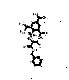 CC(C)c1cc(C(C)C)c(S(=O)(=O)NC(C[18F])C(=O)NCc2ccccc2)c(C(C)C)c1